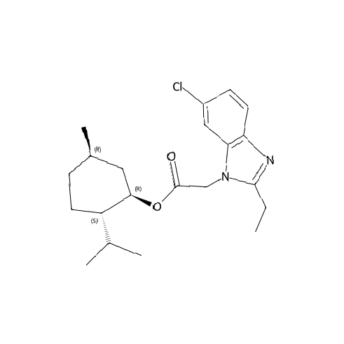 CCc1nc2ccc(Cl)cc2n1CC(=O)O[C@@H]1C[C@H](C)CC[C@H]1C(C)C